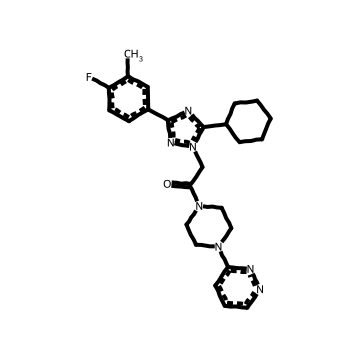 Cc1cc(-c2nc(C3CCCCC3)n(CC(=O)N3CCN(c4cccnn4)CC3)n2)ccc1F